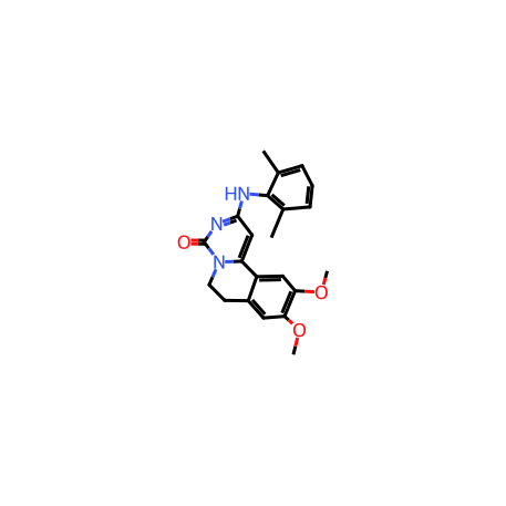 COc1cc2c(cc1OC)-c1cc(Nc3c(C)cccc3C)nc(=O)n1CC2